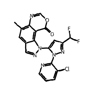 Cc1cc2cnn(-c3cc(C(F)F)nn3-c3ncccc3Cl)c2c2c(=O)ocnc12